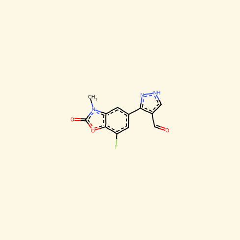 Cn1c(=O)oc2c(F)cc(-c3n[nH]cc3C=O)cc21